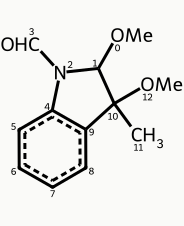 COC1N(C=O)c2ccccc2C1(C)OC